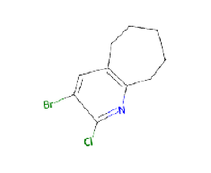 Clc1nc2c(cc1Br)CCCCC2